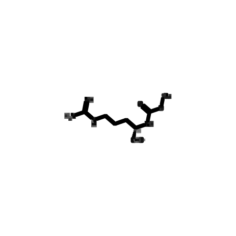 CC(C)(C)OC(=O)N[C@H]([C]=O)CCCNC(=N)N